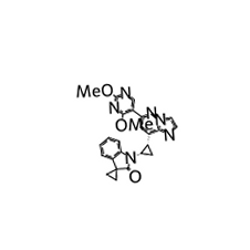 COc1ncc(-c2cc([C@@H]3C[C@@H]3N3C(=O)C4(CC4)c4ccccc43)c3nccn3n2)c(OC)n1